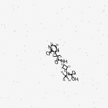 CC(C)(C(=O)N[C@H]1C[C@H](N(C(=O)O)C(C)(C)C)C1)c1nccnc1Cl